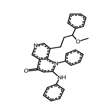 COC(CCc1cncc2c(=O)cc(Nc3ccccc3)n(-c3ccccc3)c12)c1ccccc1